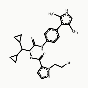 Cc1n[nH]c(C)c1-c1ccc(NC(=O)[C@@H](NC(=O)c2ccnn2CCO)C(C2CC2)C2CC2)cc1